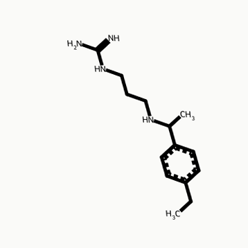 CCc1ccc(C(C)NCCCNC(=N)N)cc1